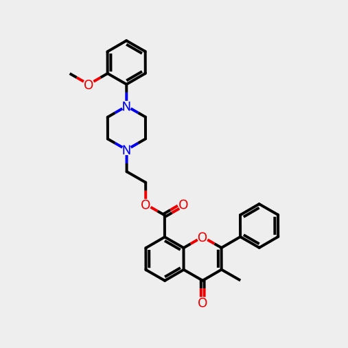 COc1ccccc1N1CCN(CCOC(=O)c2cccc3c(=O)c(C)c(-c4ccccc4)oc23)CC1